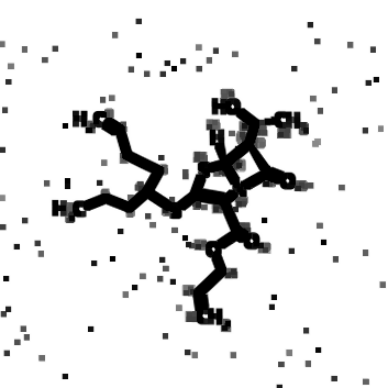 C=CCCC(CCC)SC1=C(C(=O)OCC=C)N2C(=O)[C@H]([C@@H](C)O)[C@H]2S1